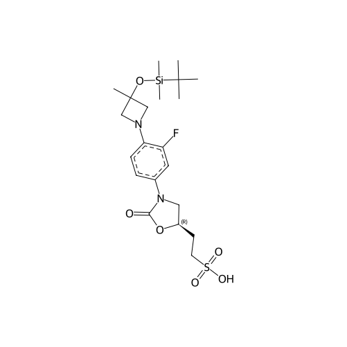 CC1(O[Si](C)(C)C(C)(C)C)CN(c2ccc(N3C[C@@H](CCS(=O)(=O)O)OC3=O)cc2F)C1